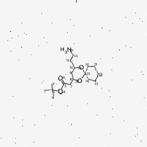 CC(C)(C)OC(=O)CC1CC(CCN)OC2(CCCCC2)O1